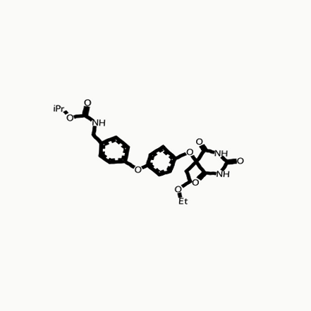 CCOCCC1(Oc2ccc(Oc3ccc(CNC(=O)OC(C)C)cc3)cc2)C(=O)NC(=O)NC1=O